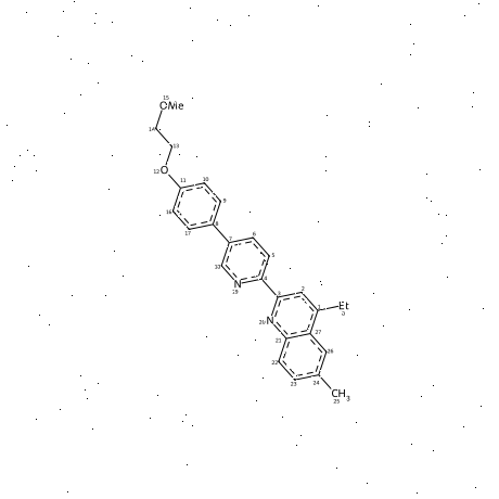 CCc1cc(-c2ccc(-c3ccc(OCCOC)cc3)cn2)nc2ccc(C)cc12